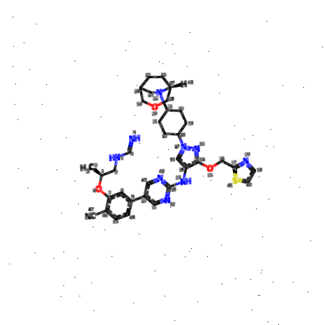 C[C@@H](CNC=N)Oc1cc(-c2cnc(Nc3cn(C4CCC(N5CC6CC[C@@H]5COC6)CC4)nc3OCc3nccs3)nc2)ccc1C#N